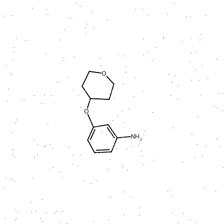 Nc1cccc(OC2CCOCC2)c1